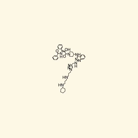 O=C(N[C@@H](c1ccccc1)[C@@H](O)C(=O)N1CCC(Nc2nc(NCc3cn(CCCNCCCNC4CCCCC4)nn3)nc3ccccc23)CC1)c1ccccc1